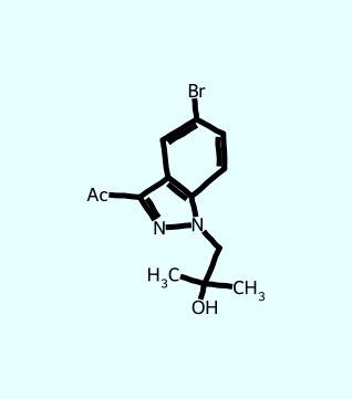 CC(=O)c1nn(CC(C)(C)O)c2ccc(Br)cc12